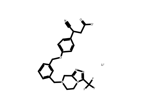 N#CC(CC(=O)[O-])c1ccc(OCc2cccc(CN3CCn4c(nnc4C(F)(F)F)C3)c2)cc1.[Li+]